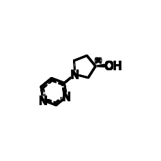 O[C@@H]1CCN(c2ccncn2)C1